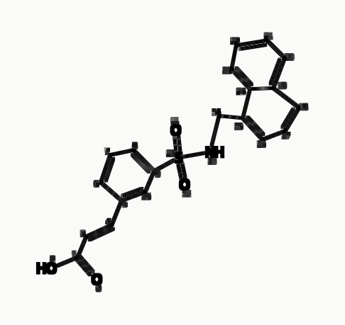 O=C(O)C=Cc1cccc(S(=O)(=O)NCc2cccc3ccccc23)c1